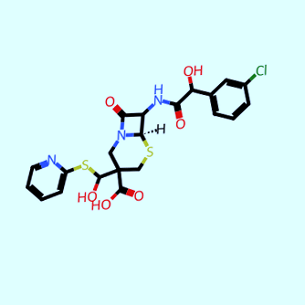 O=C(NC1C(=O)N2CC(C(=O)O)(C(O)Sc3ccccn3)CS[C@H]12)C(O)c1cccc(Cl)c1